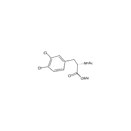 COC(=O)[C@H](Cc1ccc(Cl)c(Cl)c1)NC(C)=O